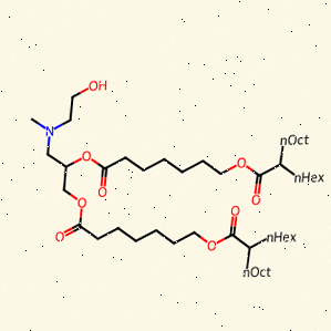 CCCCCCCCC(CCCCCC)C(=O)OCCCCCCC(=O)OCC(CN(C)CCO)OC(=O)CCCCCCOC(=O)C(CCCCCC)CCCCCCCC